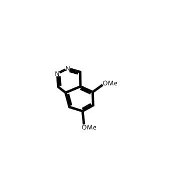 COc1cc(OC)c2cnncc2c1